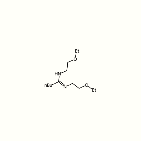 CCCCC(=NCCOCC)NCCOCC